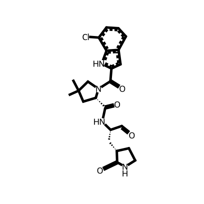 CC1(C)C[C@@H](C(=O)N[C@H](C=O)C[C@@H]2CCNC2=O)N(C(=O)c2cc3cccc(Cl)c3[nH]2)C1